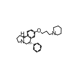 c1ccc([C@@H]2CN3CCC[C@@H]3c3ccc(OCCCN4CCCCC4)cc32)cc1